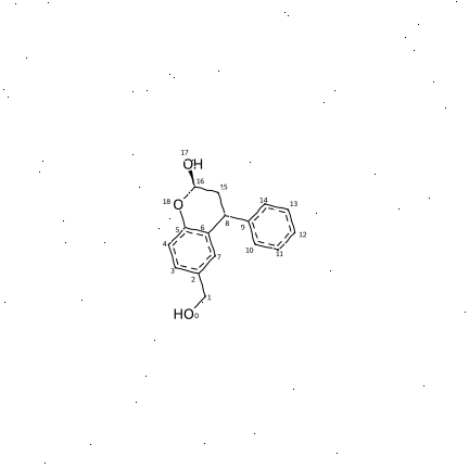 OCc1ccc2c(c1)C(c1ccccc1)C[C@H](O)O2